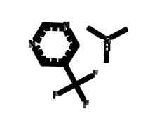 C[SiH](C)C.FC(F)(F)c1cncnc1